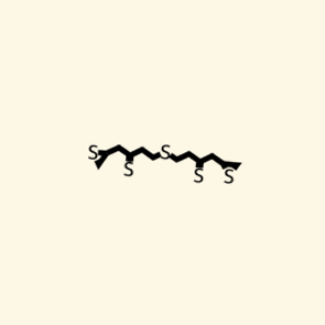 S=C(CCSCCC(=S)CC1CS1)CC1CS1